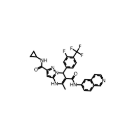 CC1=C(C(=O)Nc2ccc3cnccc3c2)C(c2ccc(C(F)(F)F)c(F)c2)n2nc(C(=O)NC3CC3)cc2N1